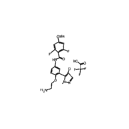 COc1cc(F)c(C(=O)Nc2ccc(OCCN)c(-c3c(Cl)cnn3C)c2)c(F)c1.O=C(O)C(F)(F)F